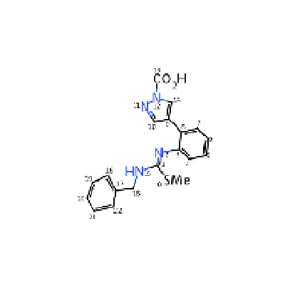 CSC(=Nc1ccccc1-c1cnn(C(=O)O)c1)NCc1ccccc1